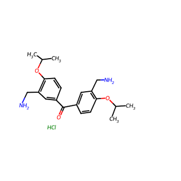 CC(C)Oc1ccc(C(=O)c2ccc(OC(C)C)c(CN)c2)cc1CN.Cl